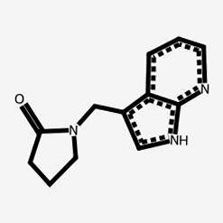 O=C1CCCN1Cc1c[nH]c2ncccc12